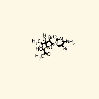 CC(=O)C(O)[C@H]1O[C@@H](n2cc(Br)c(N)nc2=O)[C@H](Br)[C@@]1(O)C(C)=O